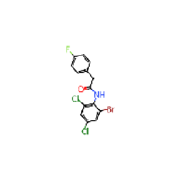 O=C(Cc1ccc(F)cc1)Nc1c(Cl)cc(Cl)cc1Br